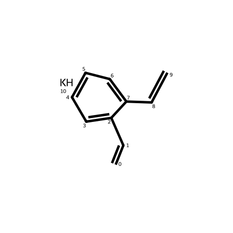 C=Cc1ccccc1C=C.[KH]